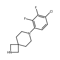 Fc1c(Cl)ccc(N2CCC3(CC2)CNC3)c1F